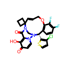 O=C1c2c(O)c(=O)ccn2N2CN1C1(/C=C/COc3c(ccc(F)c3F)[C@@H]2c2sccc2Cl)CCC1